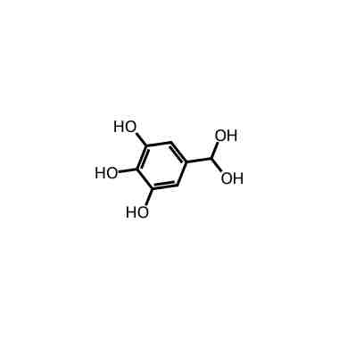 Oc1cc(C(O)O)cc(O)c1O